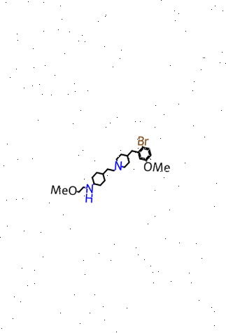 COCCNC1CCC(CCN2CCC(Cc3cc(OC)ccc3Br)CC2)CC1